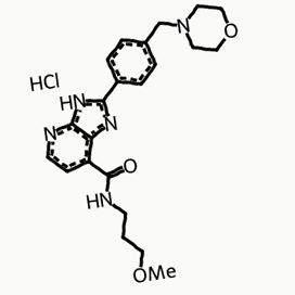 COCCCNC(=O)c1ccnc2[nH]c(-c3ccc(CN4CCOCC4)cc3)nc12.Cl